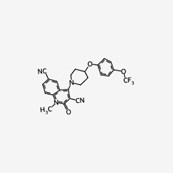 Cn1c(=O)c(C#N)c(N2CCC(Oc3ccc(OC(F)(F)F)cc3)CC2)c2cc(C#N)ccc21